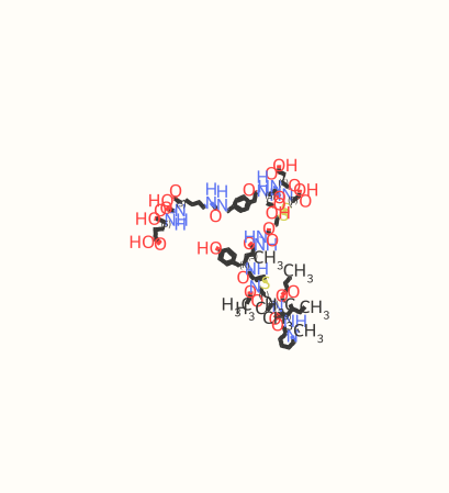 CCCC(=O)OCN(C(=O)[C@@H](NC(=O)C1CCCCN1C)C(C)CC)[C@H](C[C@@H](OC(C)=O)c1nc(C(=O)N[C@@H](Cc2ccc(O)cc2)C[C@H](C)C(=O)NNC(=O)OCCSSC[C@H](NC(=O)[C@H](CC(=O)O)NC(=O)[C@H](CC(=O)O)NC(=O)Cc2ccc(CNC(=O)NCCCC[C@H](NC(=O)N[C@@H](CCC(=O)O)C(=O)O)C(=O)O)cc2)C(=O)O)cs1)C(C)C